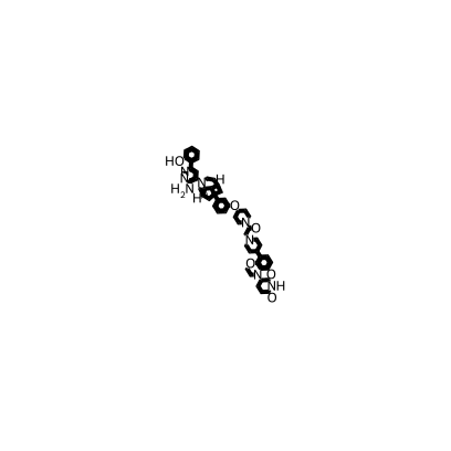 Nc1nnc(-c2ccccc2O)cc1N1CC[C@H]2CC3(c4cccc(OC5CCN(C(=O)CN6CCC(c7cccc8c7OCCN8C7CCC(=O)NC7=O)CC6)CC5)c4)C[C@@H](CC23)C1